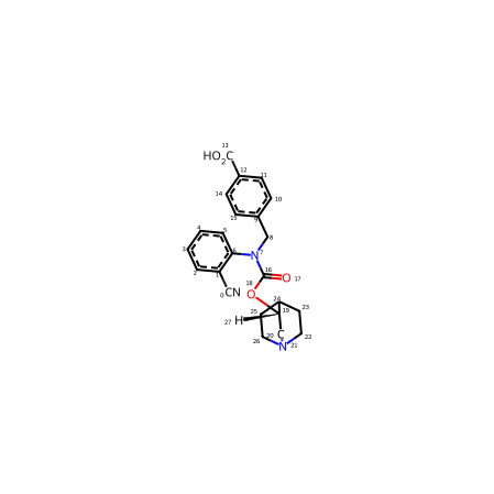 N#Cc1ccccc1N(Cc1ccc(C(=O)O)cc1)C(=O)O[C@H]1CN2CCC1CC2